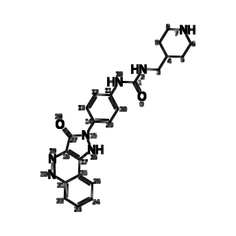 O=C(NCC1CCNCC1)Nc1ccc(-n2[nH]c3c(nnc4ccccc43)c2=O)cc1